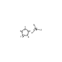 CN(C)C.c1ccsc1